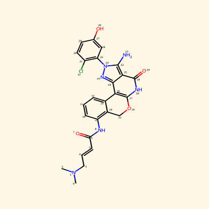 CN(C)C/C=C/C(=O)Nc1cccc2c1COc1[nH]c(=O)c3c(N)n(-c4cc(O)ccc4Cl)nc3c1-2